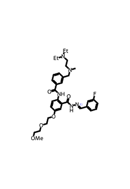 CCN(CC)CCN(C)Cc1cccc(C(=O)Nc2ccc(OCCOCCOC)cc2C(=O)N/N=C/c2cccc(F)c2)c1